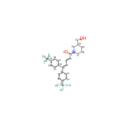 O=C(C=CC=C(c1ccc(C(F)(F)F)cc1)c1ccc(C(F)(F)F)cc1)N1CCCC(CO)C1